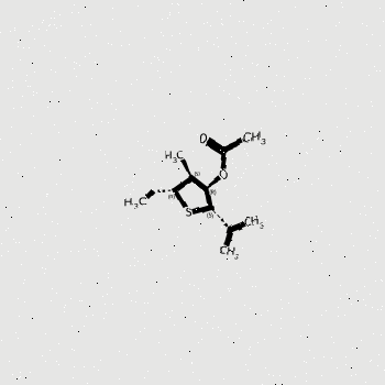 CC[C@H]1S[C@@H](C(C)C)[C@H](OC(C)=O)[C@@H]1C